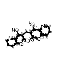 O=c1oc2cccnc2c(O)c1Cc1c(O)c2ncccc2oc1=O